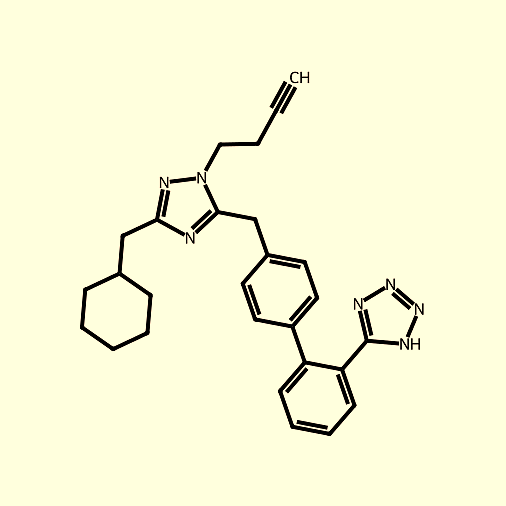 C#CCCn1nc(CC2CCCCC2)nc1Cc1ccc(-c2ccccc2-c2nnn[nH]2)cc1